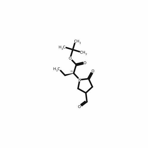 CC[C@@H](C(=O)OC(C)(C)C)N1CC(C=O)CC1=O